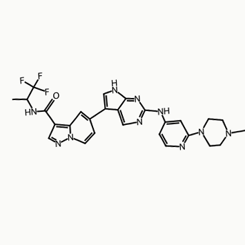 CC(NC(=O)c1cnn2ccc(-c3c[nH]c4nc(Nc5ccnc(N6CCN(C)CC6)c5)ncc34)cc12)C(F)(F)F